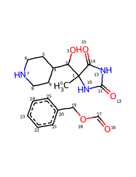 CC1(C(O)C2CCNCC2)NC(=O)NC1=O.O=COCc1ccccc1